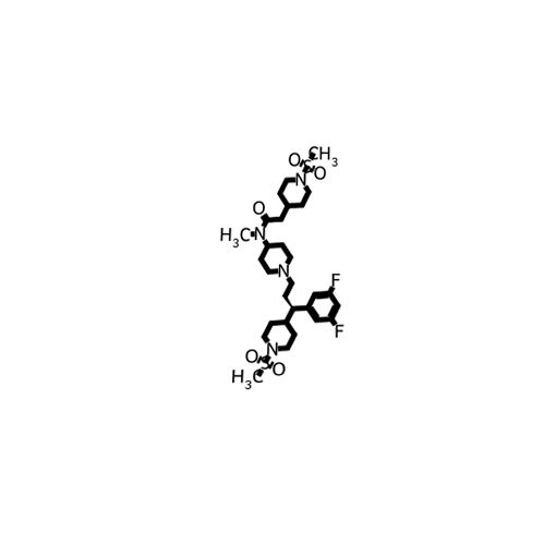 CN(C(=O)CC1CCN(S(C)(=O)=O)CC1)C1CCN(CC[C@@H](c2cc(F)cc(F)c2)C2CCN(S(C)(=O)=O)CC2)CC1